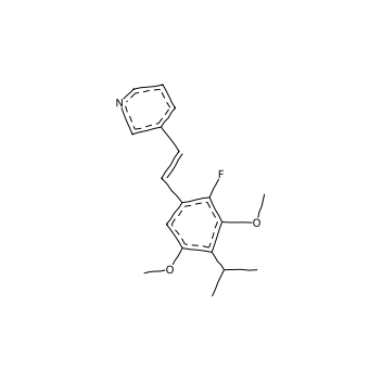 COc1cc(C=Cc2cccnc2)c(F)c(OC)c1C(C)C